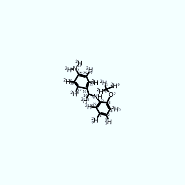 [2H]c1c([2H])c([2H])c(OC([2H])([2H])[2H])c(NC([2H])c2c([2H])c([2H])c(N([2H])[2H])c([2H])c2[2H])c1[2H]